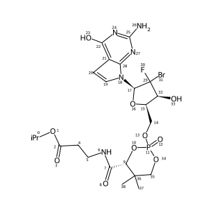 CC(C)OC(=O)CCNC(=O)[C@@H]1OP(=O)(OC[C@H]2O[C@@H](n3ccc4c(O)nc(N)nc43)C(F)(Br)[C@H]2O)OCC1(C)C